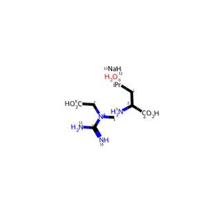 CC(C)CC(N)C(=O)O.CN(CC(=O)O)C(=N)N.O.[NaH]